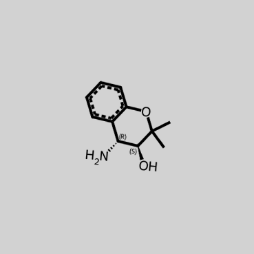 CC1(C)Oc2ccccc2[C@@H](N)[C@@H]1O